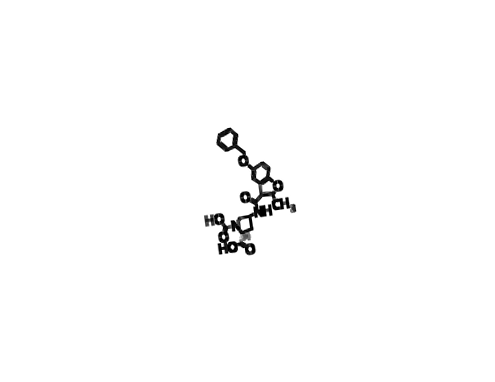 Cc1oc2ccc(OCc3ccccc3)cc2c1C(=O)NC1C[C@H](C(=O)O)N(C(=O)O)C1